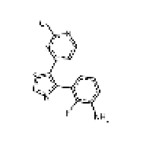 Nc1cccc(-c2ncsc2-c2ccnc(Cl)n2)c1F